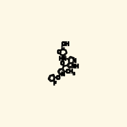 Cc1nc(Oc2ccccc2F)ccc1C(=O)c1c[nH]c2nccc(N[C@@H]3CC[C@@H](CO)OC3)c12